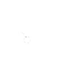 Cc1cc(O)c(F)c(N)c1F